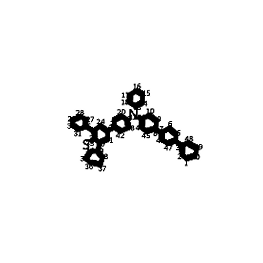 c1ccc(-c2ccc(-c3ccc(N(c4ccccc4)c4ccc(-c5cc(-c6ccccc6)c6sc7ccccc7c6c5)cc4)cc3)cc2)cc1